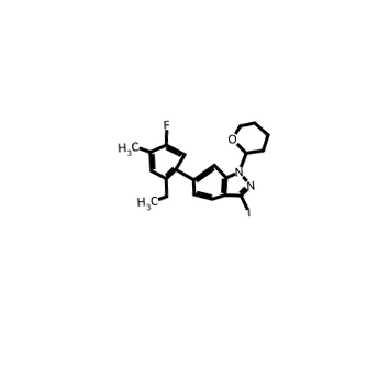 CCc1cc(C)c(F)cc1-c1ccc2c(I)nn(C3CCCCO3)c2c1